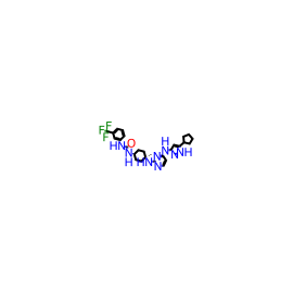 C[C@]1(Nc2nccc(Nc3cc(C4CCCC4)[nH]n3)n2)CC[C@H](NC(=O)Nc2cccc(C(F)(F)F)c2)CC1